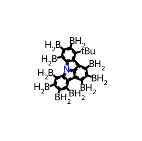 Bc1c(B)c(B)c2c(c1B)c1c(B)c(B)c(B)c3c4c(C(C)(C)C)c(B)c(B)c(B)c4n2c13